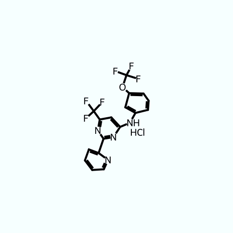 Cl.FC(F)(F)Oc1cccc(Nc2cc(C(F)(F)F)nc(-c3ccccn3)n2)c1